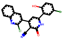 N#Cc1c(-c2cc3ccccc3nc2Cl)cc(-c2cc(Br)ccc2O)[nH]c1=O